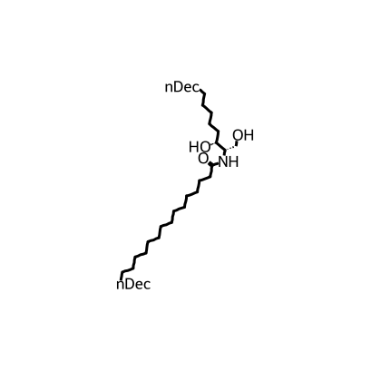 CCCCCCCCCCCCCCCCCCCCCCCCC(=O)N[C@@H](CO)[C@H](O)CCCCCCCCCCCCCCC